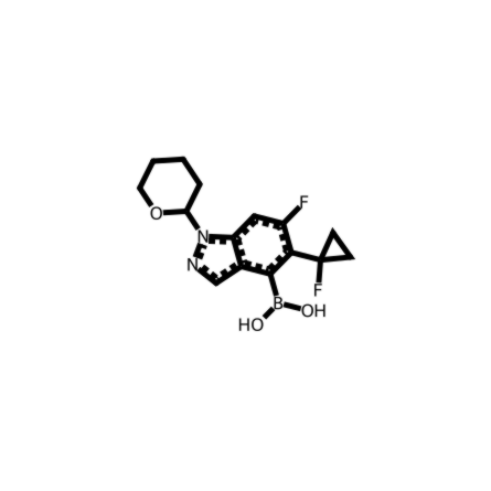 OB(O)c1c(C2(F)CC2)c(F)cc2c1cnn2C1CCCCO1